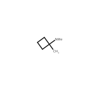 CNC1(C)CCC1